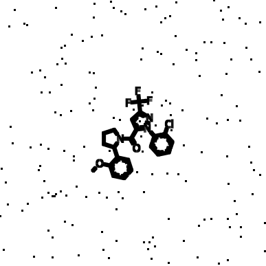 COc1ccccc1C1CCCN1C(=O)c1cc(C(F)(F)F)nn1-c1ccccc1Cl